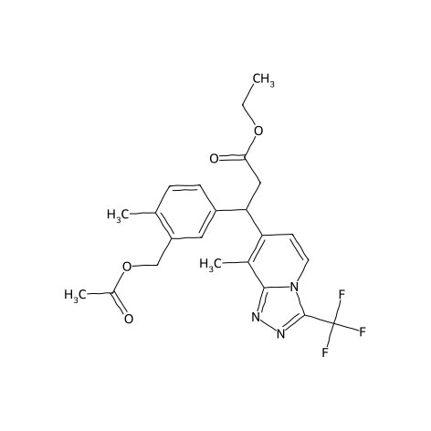 CCOC(=O)CC(c1ccc(C)c(COC(C)=O)c1)c1ccn2c(C(F)(F)F)nnc2c1C